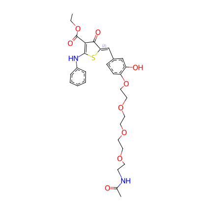 CCOC(=O)C1=C(Nc2ccccc2)S/C(=C\c2ccc(OCCOCCOCCOCCNC(C)=O)c(O)c2)C1=O